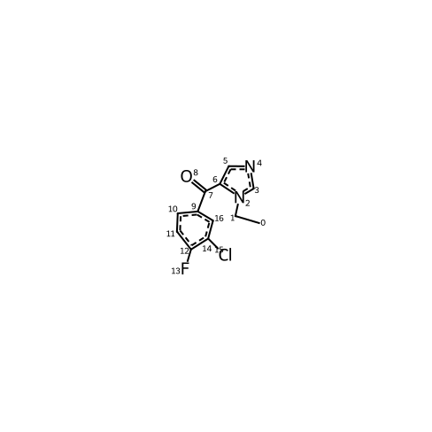 CCn1cncc1C(=O)c1ccc(F)c(Cl)c1